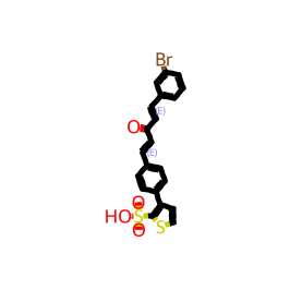 O=C(/C=C/c1ccc(-c2ccsc2S(=O)(=O)O)cc1)/C=C/c1cccc(Br)c1